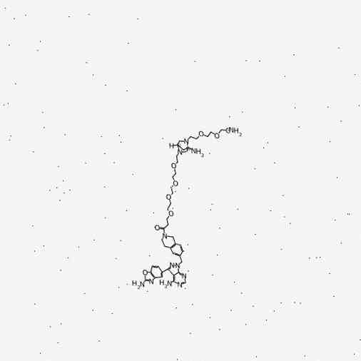 NCCOCCOCCN1C[C@@H]2C[C@@]1(N)CN2CCOCCOCCOCCOCCC(=O)N1CCc2cc(Cn3nc(-c4ccc5oc(N)nc5c4)c4c(N)ncnc43)ccc2C1